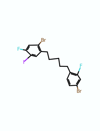 Fc1cc(Br)c(CCCCCc2ccc(Br)cc2F)cc1I